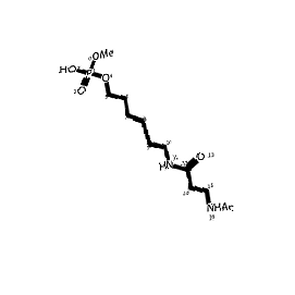 COP(=O)(O)OCCCCCCNC(=O)CCNC(C)=O